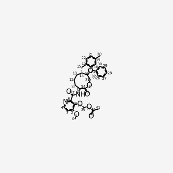 COc1ccnc(C(=O)N[C@H]2CCC[C@H](Cc3ccc(C)cc3)[C@@H](Oc3ccccc3)[C@H](C)OC2=O)c1OCOC(C)=O